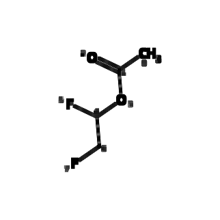 CC(=O)OC(F)CF